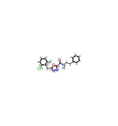 O=C(NCCc1ccccc1)c1nnc(Cc2c(F)cccc2Cl)o1